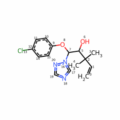 C=CC(C)(C)C(O)C(Oc1ccc(Cl)cc1)n1cncn1